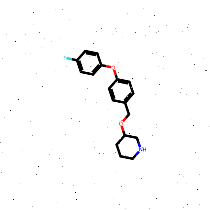 Fc1ccc(Oc2ccc(COC3CCCNC3)cc2)cc1